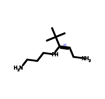 CC(C)(C)/C(=C/CN)PCCCN